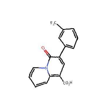 O=C(O)c1cc(-c2cccc(C(F)(F)F)c2)c(=O)n2ccccc12